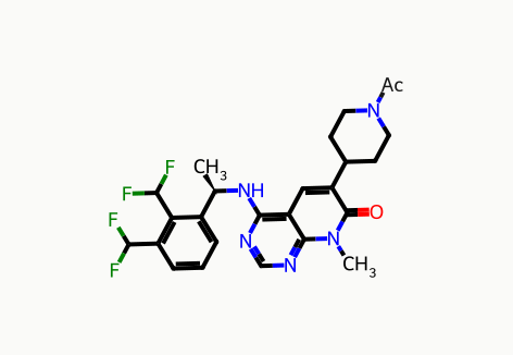 CC(=O)N1CCC(c2cc3c(N[C@H](C)c4cccc(C(F)F)c4C(F)F)ncnc3n(C)c2=O)CC1